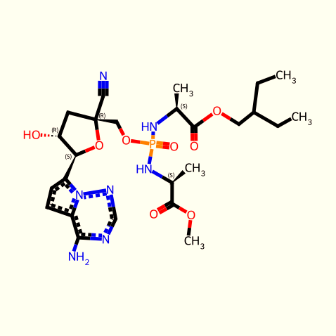 CCC(CC)COC(=O)[C@H](C)NP(=O)(N[C@@H](C)C(=O)OC)OC[C@]1(C#N)C[C@@H](O)[C@H](c2ccc3c(N)ncnn23)O1